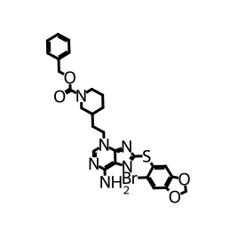 Nc1ncn(CCC2CCCN(C(=O)OCc3ccccc3)C2)c2nc(Sc3cc4c(cc3Br)OCO4)nc1-2